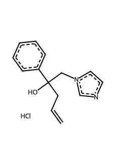 C=CCC(O)(Cn1ccnc1)c1ccccc1.Cl